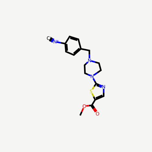 [C-]#[N+]c1ccc(CN2CCN(c3ncc(C(=O)OC)s3)CC2)cc1